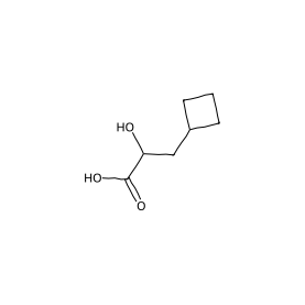 O=C(O)C(O)CC1CCC1